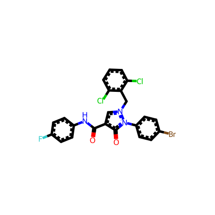 O=C(Nc1ccc(F)cc1)c1cn(Cc2c(Cl)cccc2Cl)n(-c2ccc(Br)cc2)c1=O